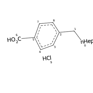 CCCCCCCCc1ccc(C(=O)O)cc1.Cl